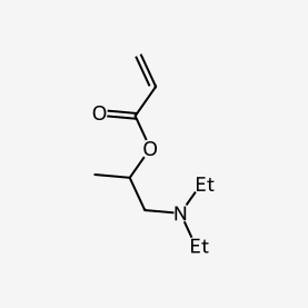 C=CC(=O)OC(C)CN(CC)CC